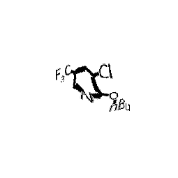 CCCCOc1ncc(C(F)(F)F)cc1Cl